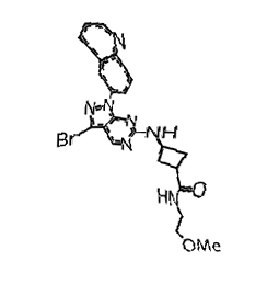 COCCNC(=O)C1CC(Nc2ncc3c(Br)nn(-c4ccc5ncccc5c4)c3n2)C1